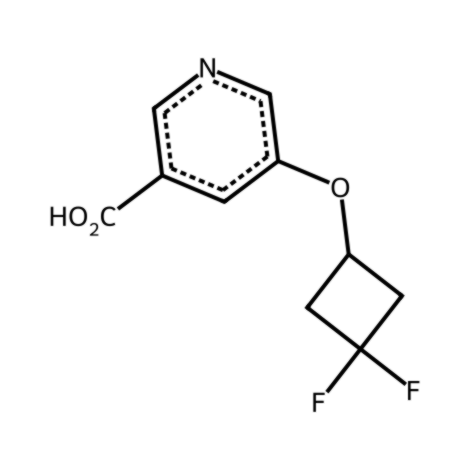 O=C(O)c1cncc(OC2CC(F)(F)C2)c1